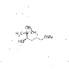 COCCC[C@@H](O)[Si](C)(C)C